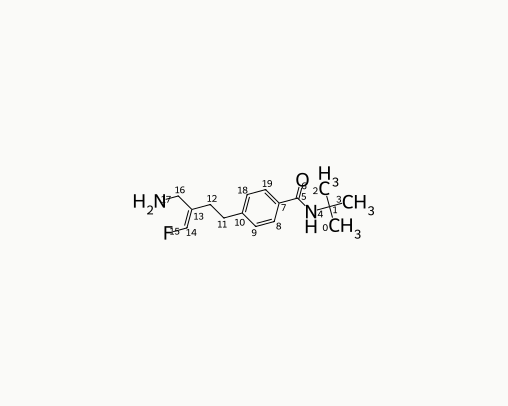 CC(C)(C)NC(=O)c1ccc(CCC(=CF)CN)cc1